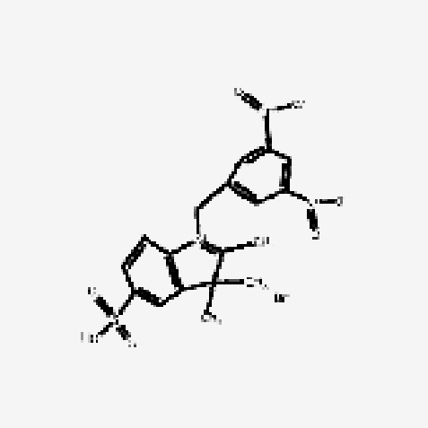 CC1=[N+](Cc2cc([N+](=O)[O-])cc([N+](=O)[O-])c2)c2ccc(S(=O)(=O)O)cc2C1(C)C.[Br-]